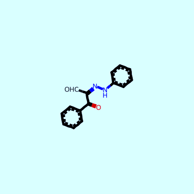 O=CC(=NNc1ccccc1)C(=O)c1ccccc1